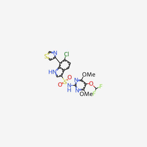 COc1nc(NS(=O)(=O)c2c[nH]c3c(-c4cscn4)c(Cl)ccc23)nc(OC)c1OC(F)F